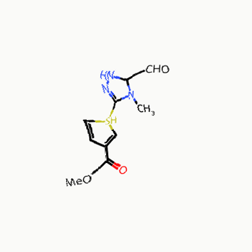 COC(=O)C1=C[SH](C2=NNC(C=O)N2C)C=C1